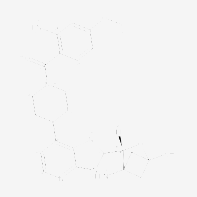 CC12CC(N)(C1)[C@H](c1nc3c(C4CCN(C(=O)c5ccc(OC(F)(F)F)cc5N)CC4)ccnc3[nH]1)O2